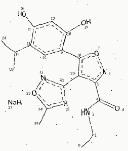 CCNC(=O)c1noc(-c2cc(C(C)C)c(O)cc2O)c1-c1noc(C)n1.[NaH]